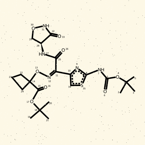 CC(C)(C)OC(=O)Nc1nc(/C(=N/OC2(C(=O)OC(C)(C)C)CCC2)C(=O)N[C@H]2CONC2=O)cs1